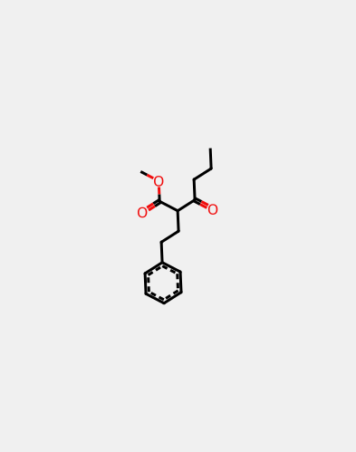 CCCC(=O)C(CCc1ccccc1)C(=O)OC